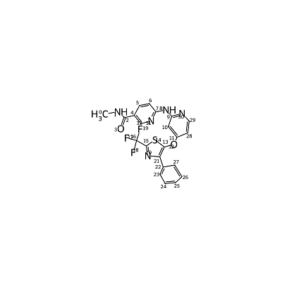 CNC(=O)c1ccc(Nc2cc(Oc3sc(C(F)(F)F)nc3-c3ccccc3)ccn2)nc1